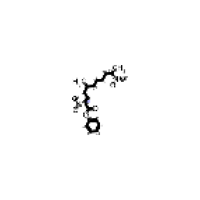 CC(C/C=C(/C(=O)Oc1ccccc1)[N+](=O)[O-])CCCCC(C)[N+](=O)[O-]